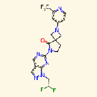 O=C1N(c2ncc3cnn(CC(F)F)c3n2)CCC12CN(c1ccnc(C(F)(F)F)c1)C2